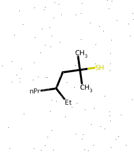 CCCC(CC)CC(C)(C)S